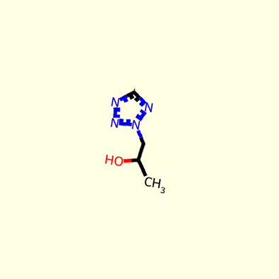 CC(O)Cn1n[c]nn1